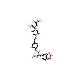 CO/N=C(\COc1ccc(COc2ccc(C(N)CC(=O)O)cc2)cc1)c1ccc2c(c1)CCO2